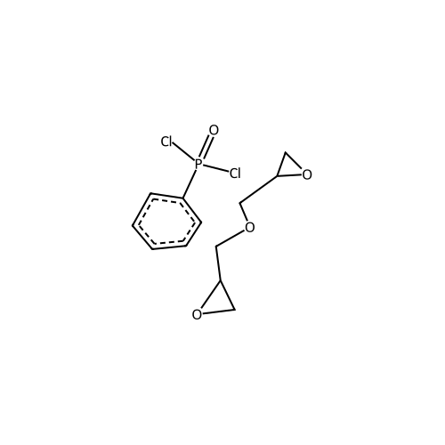 C(OCC1CO1)C1CO1.O=P(Cl)(Cl)c1ccccc1